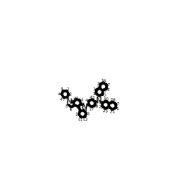 c1ccc(-n2ccc3c4c5ccccc5n(-c5ccc(N(c6ccc7ccccc7c6)c6ccc7ccccc7c6)cc5)c4ccc32)cc1